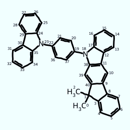 CC1(C)c2ccccc2-c2cc3c4ccccc4n(-c4ccc(-n5c6ccccc6c6ccccc65)cc4)c3cc21